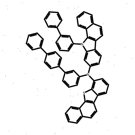 c1ccc(-c2ccc(-c3cccc(N(c4ccc5c6ccc7ccccc7c6n(-c6cccc(-c7ccccc7)c6)c5c4)c4cccc5c4sc4c6ccccc6ccc54)c3)cc2)cc1